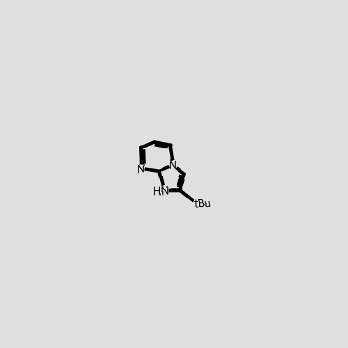 CC(C)(C)C1=CN2C=CC=NC2N1